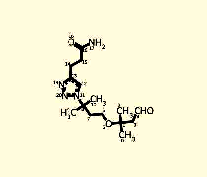 CC(C)(CC=O)OCCC(C)(C)n1cc(CCC(N)=O)nn1